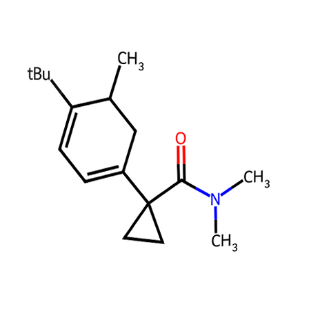 CC1CC(C2(C(=O)N(C)C)CC2)=CC=C1C(C)(C)C